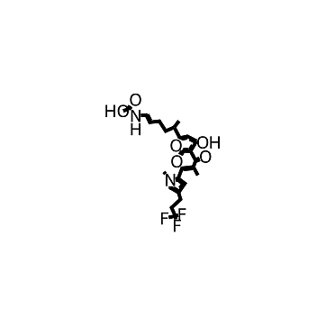 CC(=Cc1cc(CCC(F)(F)F)cn1C)C(=O)c1c(O)cc(C(C)CC/C=C/NC(=O)O)oc1=O